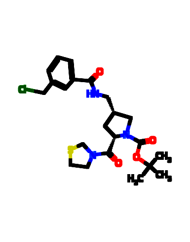 CC(C)(C)OC(=O)N1C[C@@H](CNC(=O)c2cccc(CCl)c2)C[C@H]1C(=O)N1CCSC1